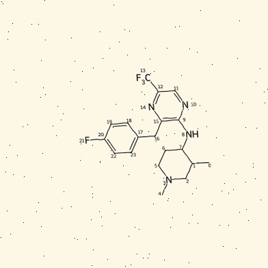 CC1CN(C)CCC1Nc1ncc(C(F)(F)F)nc1Cc1ccc(F)cc1